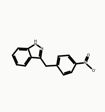 O=[N+]([O-])c1ccc(Cc2n[nH]c3ccccc23)cc1